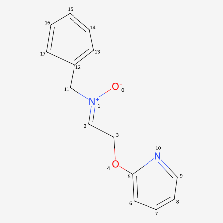 [O-][N+](=CCOc1ccccn1)Cc1ccccc1